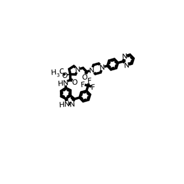 CO[C@@]1(C(=O)Nc2ccc3[nH]nc(-c4cccc(C(F)(F)F)c4)c3c2)CCN(CC(=O)N2CCN(c3ccc(-c4ncccn4)cc3)CC2)C1